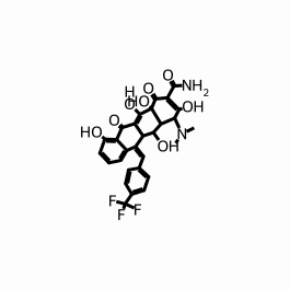 CN(C)C1C(O)=C(C(N)=O)C(=O)C2(O)C(O)=C3C(=O)c4c(O)cccc4/C(=C\c4ccc(C(F)(F)F)cc4)C3C(O)C12